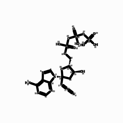 [N-]=[N+]=N[C@]1(n2cnc3c(N)ncnc32)C[C@H](O)[C@@H](COP(=O)(O)OP(=O)(O)OP(=O)(O)O)O1